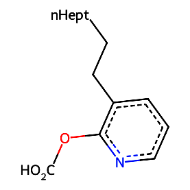 CCCCCCCCCc1cccnc1OC(=O)O